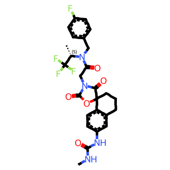 CNC(=O)Nc1ccc2c(c1)CCCC21OC(=O)N(CC(=O)N(Cc2ccc(F)cc2)[C@@H](C)C(F)(F)F)C1=O